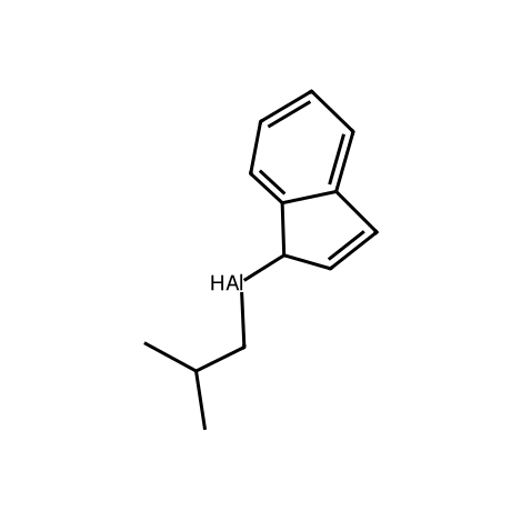 CC(C)[CH2][AlH][CH]1C=Cc2ccccc21